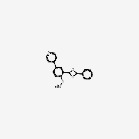 CCCCOc1ccc(-c2ccncc2)cc1C1OC(c2ccccc2)O1